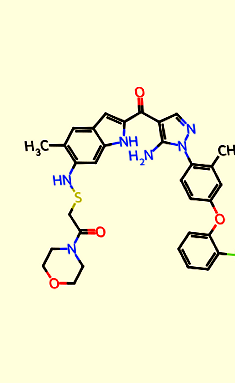 Cc1cc2cc(C(=O)c3cnn(-c4ccc(Oc5ccccc5F)cc4C)c3N)[nH]c2cc1NSCC(=O)N1CCOCC1